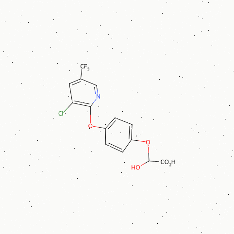 O=C(O)C(O)Oc1ccc(Oc2ncc(C(F)(F)F)cc2Cl)cc1